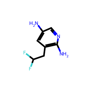 Nc1cnc(N)c(CC(F)F)c1